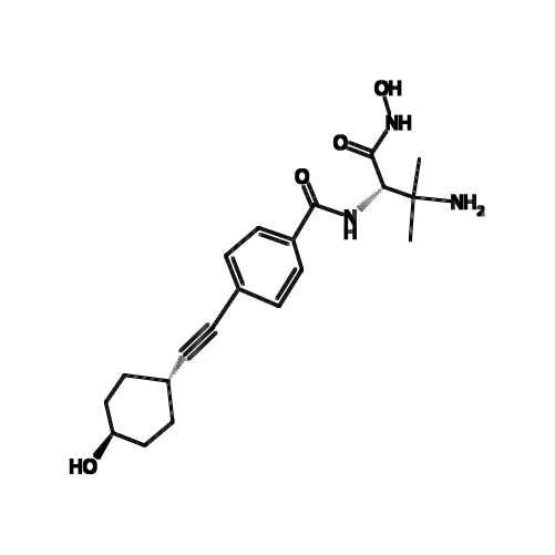 CC(C)(N)[C@H](NC(=O)c1ccc(C#C[C@H]2CC[C@H](O)CC2)cc1)C(=O)NO